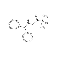 CC(C)(Br)C(=O)CNC(c1ccccc1)c1ccccc1